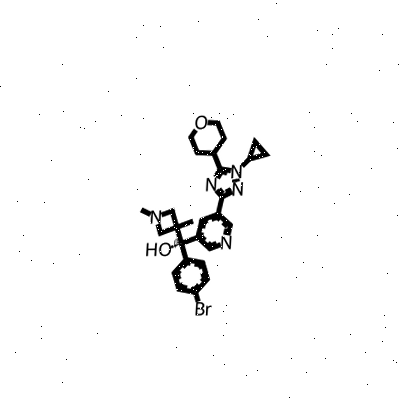 CN1CC(C)([C@](O)(c2ccc(Br)cc2)c2cncc(-c3nc(C4CCOCC4)n(C4CC4)n3)c2)C1